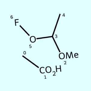 CC(=O)O.COC(C)OF